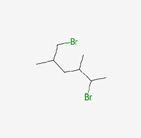 CC(CBr)CC(C)C(C)Br